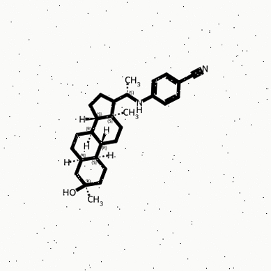 C[C@H](Nc1ccc(C#N)cc1)C1CC[C@H]2[C@@H]3CC[C@@H]4C[C@](C)(O)CC[C@@H]4[C@H]3CC[C@]12C